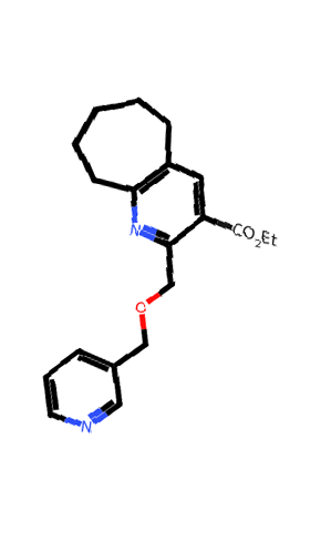 CCOC(=O)c1cc2c(nc1COCc1cccnc1)CCCCC2